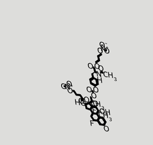 CC(=O)N[C@@H](Cc1ccc(OC(=O)OCC(=O)[C@@]2(OC(=O)CCCO[N+](=O)[O-])[C@H](O)CC3C4C[C@H](F)C5=CC(=O)C=C[C@]5(C)[C@@]4(F)[C@@H](O)C[C@@]32C)cc1)C(=O)OCCCCO[N+](=O)[O-]